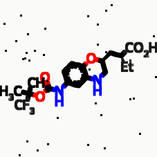 CC[C@H](C[C@H]1CNc2cc(NC(=O)OC(C)(C)C(F)(F)F)ccc2O1)C(=O)O